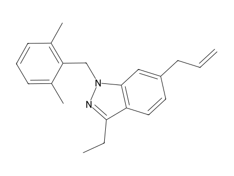 C=CCc1ccc2c(CC)nn(Cc3c(C)cccc3C)c2c1